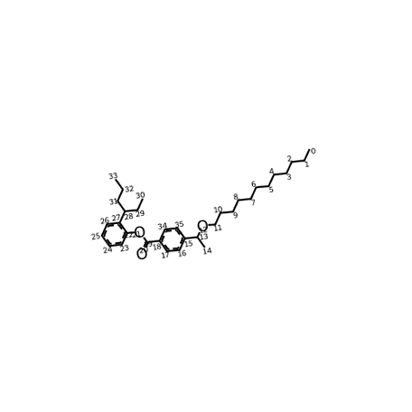 CCCCCCCCCCCCOC(C)c1ccc(C(=O)Oc2ccccc2C(CC)CCC)cc1